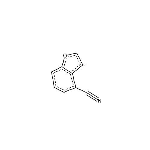 N#Cc1cccc2oc[c]c12